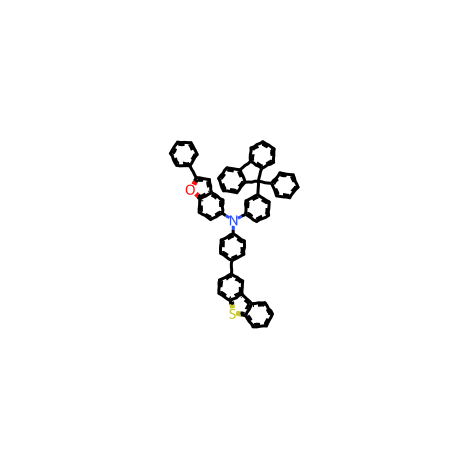 c1ccc(-c2cc3cc(N(c4ccc(-c5ccc6sc7ccccc7c6c5)cc4)c4cccc(C5(c6ccccc6)c6ccccc6-c6ccccc65)c4)ccc3o2)cc1